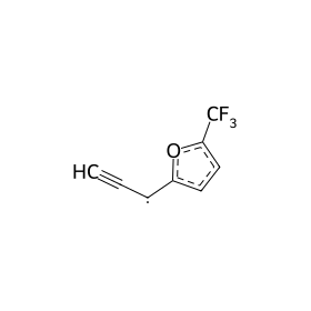 C#C[CH]c1ccc(C(F)(F)F)o1